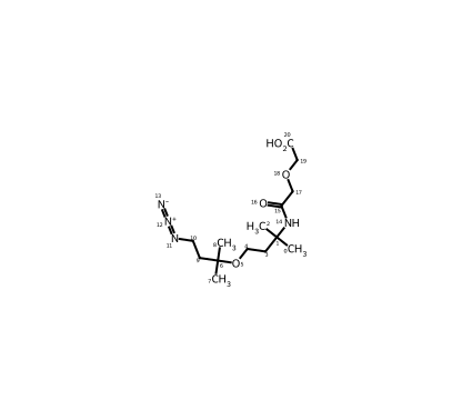 CC(C)(CCOC(C)(C)CCN=[N+]=[N-])NC(=O)COCC(=O)O